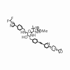 COC(=O)N[C@H](C(=O)N[C@@H](Cc1ccc(C#Cc2ccc(N3CCN(C4COC4)CC3)nc2)cc1)[C@@H](O)CNCc1ccc(-c2cnn(C(F)F)c2)cc1)C(C)(C)C(F)(F)F